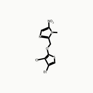 CCc1csc(OCc2ncc([N+](=O)[O-])n2C)c1Cl